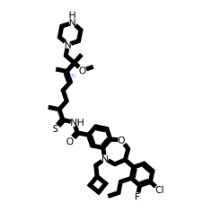 CCCc1c(C2COc3ccc(C(=O)NC(=S)C(C)CC/C=C(\C)C(C)(CN4CCNCC4)OC)cc3N(CC3CCC3)C2)ccc(Cl)c1F